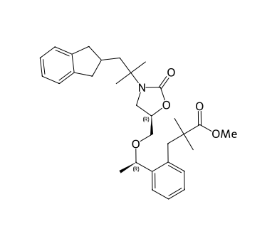 COC(=O)C(C)(C)Cc1ccccc1[C@@H](C)OC[C@H]1CN(C(C)(C)CC2Cc3ccccc3C2)C(=O)O1